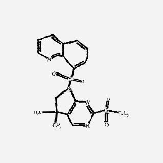 CC1(C)CN(S(=O)(=O)c2cccc3cccnc23)c2nc(S(C)(=O)=O)ncc21